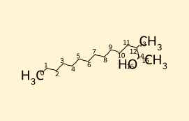 CCCCCCCCCCCCC(C)[C@H](C)O